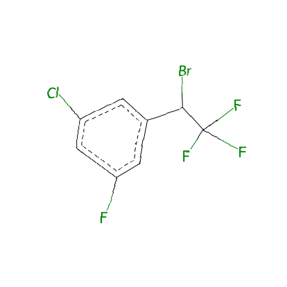 Fc1cc(Cl)cc(C(Br)C(F)(F)F)c1